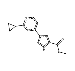 COC(=O)c1cc(-c2ccnc(C3CC3)c2)n[nH]1